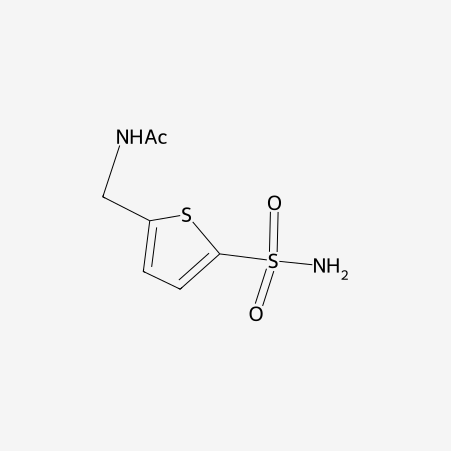 CC(=O)NCc1ccc(S(N)(=O)=O)s1